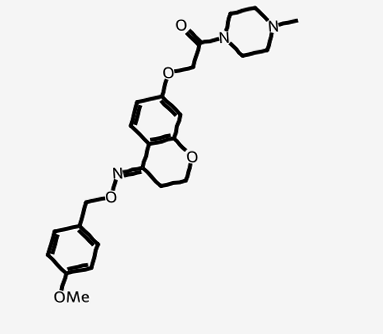 COc1ccc(CO/N=C2\CCOc3cc(OCC(=O)N4CCN(C)CC4)ccc32)cc1